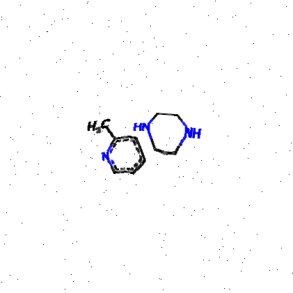 C1CNCCN1.Cc1ccccn1